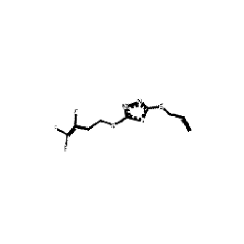 C=CCSc1nnc(SCCC(F)=C(F)F)s1